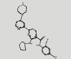 O=C(Nc1ccc(Cl)cc1F)c1cnc(-c2cc(N3CCNCC3)ccn2)nc1NC1CCCC1